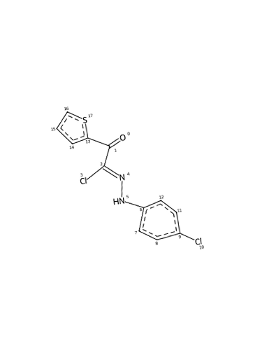 O=C(C(Cl)=NNc1ccc(Cl)cc1)c1cccs1